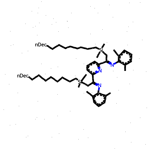 CCCCCCCCCCCCCCCCCC[Si](C)(C)CC(=Nc1c(C)cccc1C)c1cccc(C(C[Si](C)(C)CCCCCCCCCCCCCCCCCC)=Nc2c(C)cccc2C)n1